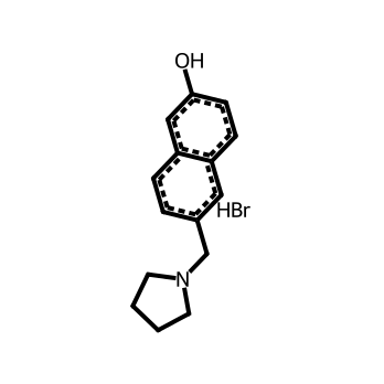 Br.Oc1ccc2cc(CN3CCCC3)ccc2c1